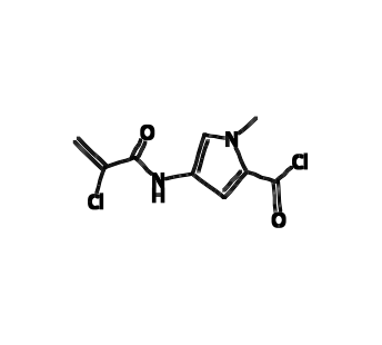 C=C(Cl)C(=O)Nc1cc(C(=O)Cl)n(C)c1